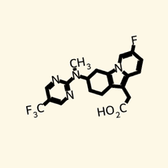 CN(c1ncc(C(F)(F)F)cn1)C1CCc2c(CC(=O)O)c3ccc(F)cn3c2C1